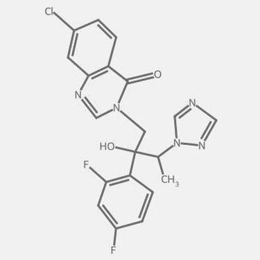 CC(n1cncn1)C(O)(Cn1cnc2cc(Cl)ccc2c1=O)c1ccc(F)cc1F